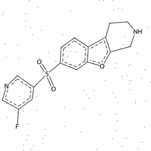 O=S(=O)(c1cncc(F)c1)c1ccc2c3c(oc2c1)CNCC3